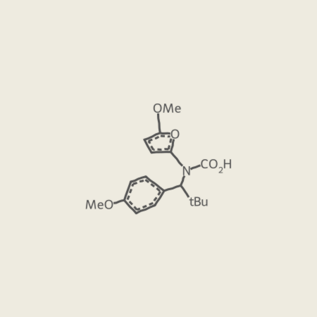 COc1ccc(C(N(C(=O)O)c2ccc(OC)o2)C(C)(C)C)cc1